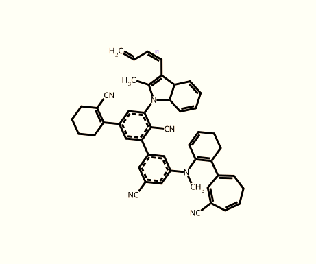 C=C/C=C\C1=C(C)N(c2cc(C3=C(C#N)CCCC3)cc(-c3cc(C#N)cc(N(C)C4=C(C5=CCC=CC(C#N)=C5)CCC=C4)c3)c2C#N)C2C=CC=CC12